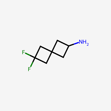 NC1CC2(C1)CC(F)(F)C2